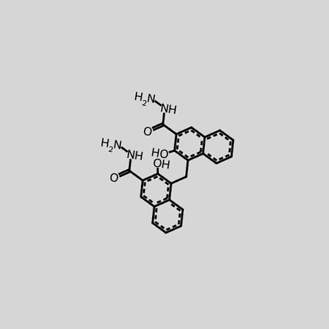 NNC(=O)c1cc2ccccc2c(Cc2c(O)c(C(=O)NN)cc3ccccc23)c1O